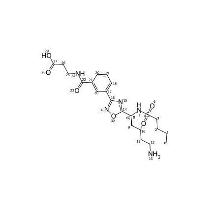 CCCCS(=O)(=O)N[C@@H](CCCCN)c1nc(-c2cccc(C(=O)NCCC(=O)O)c2)no1